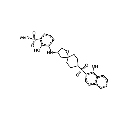 CNS(=O)(=O)c1cccc(N[C@H]2COC3(CCN(S(=O)(=O)c4cnc5ccccc5c4O)CC3)C2)c1O